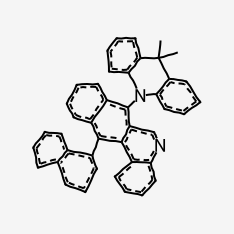 CC1(C)c2ccccc2N(c2c3ccccc3c(-c3cccc4ccccc34)c3c2cnc2ccccc23)c2ccccc21